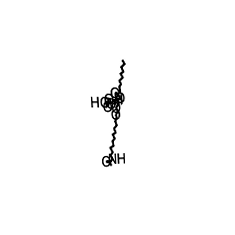 CCCCCCCCCCC(=O)O[C@@H](COCOCCCCCCCCCCCCNC(C)=O)COP(=O)(O)O